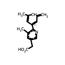 C=C/C=C(\C=C(C)C)c1ncc(CC(=O)O)cc1C